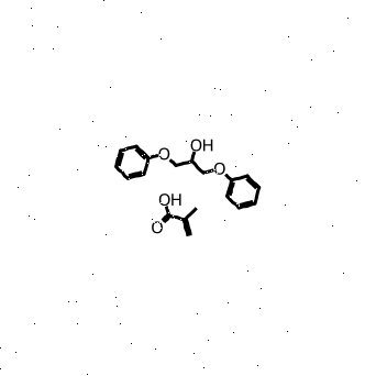 C=C(C)C(=O)O.OC(COc1ccccc1)COc1ccccc1